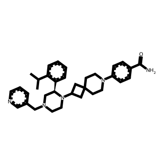 CC(C)c1ccccc1[C@@H]1CN(Cc2cccnc2)CCN1C1CC2(CCN(c3ccc(C(N)=O)cc3)CC2)C1